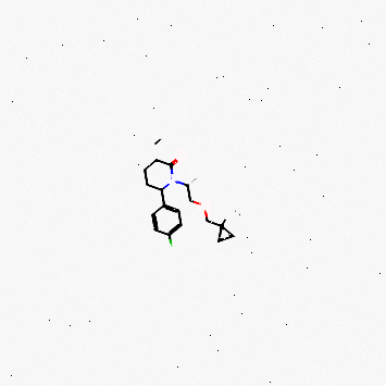 CC[C@@H](COCC1(C#N)CC1)N1C(=O)[C@@H](CC(=O)O)CCC1c1ccc(Cl)cc1